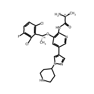 C[C@H](N)C(=O)Nc1ncc(-c2cnn(C3CCNCC3)c2)cc1O[C@H](C)c1c(Cl)ccc(F)c1Cl